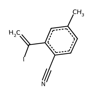 C=C(I)c1cc(C)ccc1C#N